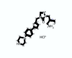 Cl.NC/C(=C\F)Cn1ncn(Cc2ccc(-c3ccc(N4CCNCC4)cc3)s2)c1=O